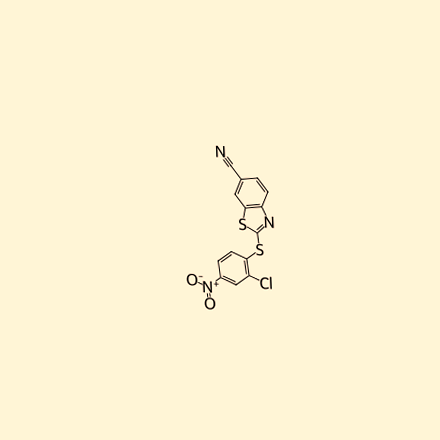 N#Cc1ccc2nc(Sc3ccc([N+](=O)[O-])cc3Cl)sc2c1